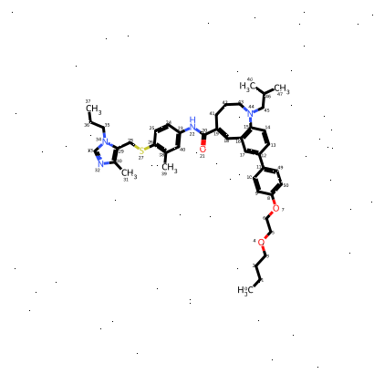 CCCCOCCOc1ccc(-c2ccc3c(c2)C=C(C(=O)Nc2ccc(SCc4c(C)ncn4CCC)c(C)c2)CCCN3CC(C)C)cc1